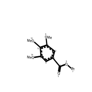 COc1cc(C(=O)OC(C)C)cc(OC)c1OC